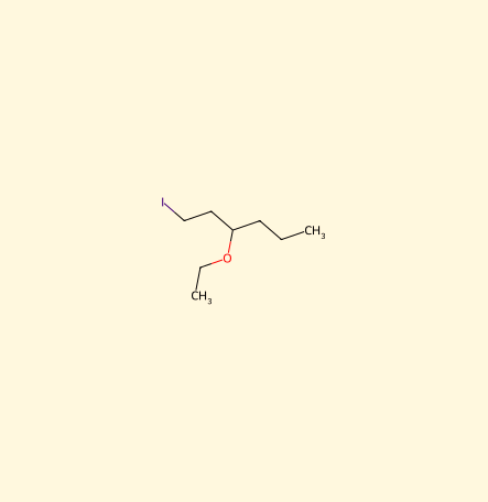 CCCC(CCI)OCC